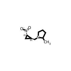 CC1CCCN1C[C@H]1C[C@@H]1[N+](=O)[O-]